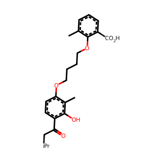 Cc1cccc(C(=O)O)c1OCCCCOc1ccc(C(=O)CC(C)C)c(O)c1C